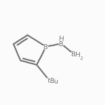 BBB1C=CC=C1C(C)(C)C